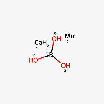 OB(O)O.[CaH2].[Mn]